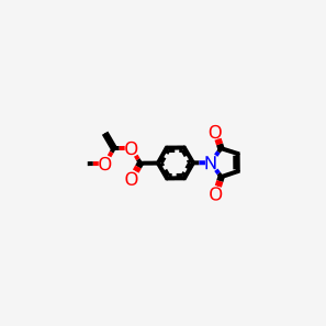 C=C(OC)OC(=O)c1ccc(N2C(=O)C=CC2=O)cc1